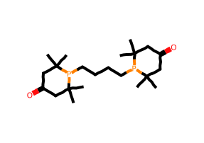 CC1(C)CC(=O)CC(C)(C)P1CCCCP1C(C)(C)CC(=O)CC1(C)C